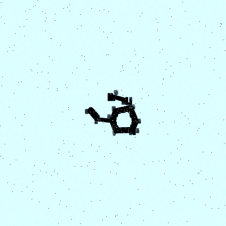 C=Cc1cccnc1.[Li][Br]